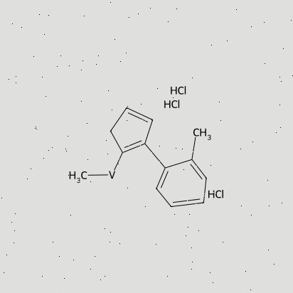 Cl.Cl.Cl.[CH3][V][C]1=C(c2ccccc2C)C=CC1